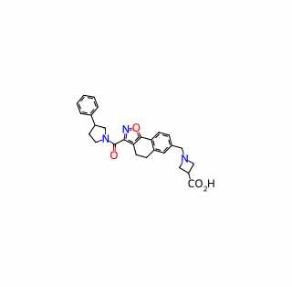 O=C(O)C1CN(Cc2ccc3c(c2)CCc2c(C(=O)N4CCC(c5ccccc5)C4)noc2-3)C1